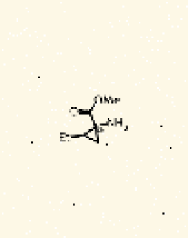 CCC1C[C@@]1(N)C(=O)OC